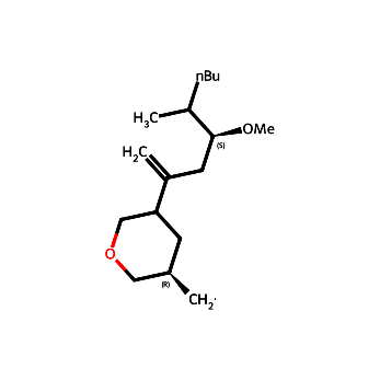 [CH2][C@H]1COCC(C(=C)C[C@H](OC)C(C)CCCC)C1